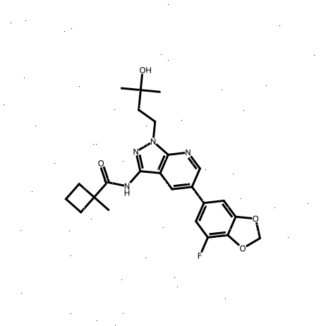 CC(C)(O)CCn1nc(NC(=O)C2(C)CCC2)c2cc(-c3cc(F)c4c(c3)OCO4)cnc21